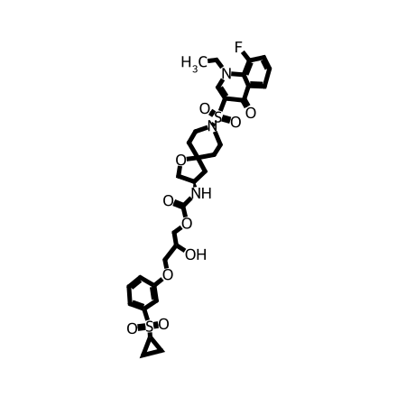 CCn1cc(S(=O)(=O)N2CCC3(CC2)C[C@@H](NC(=O)OCC(O)COc2cccc(S(=O)(=O)C4CC4)c2)CO3)c(=O)c2cccc(F)c21